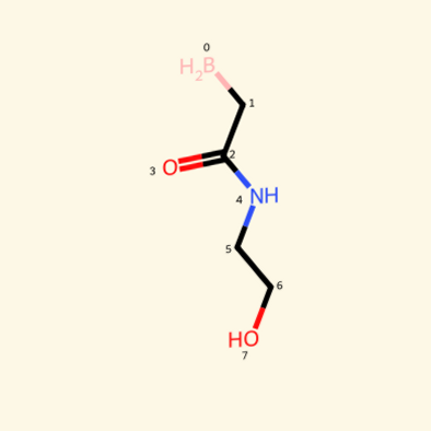 BCC(=O)NCCO